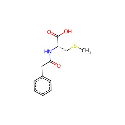 CSC[C@H](NC(=O)Cc1ccccc1)C(=O)O